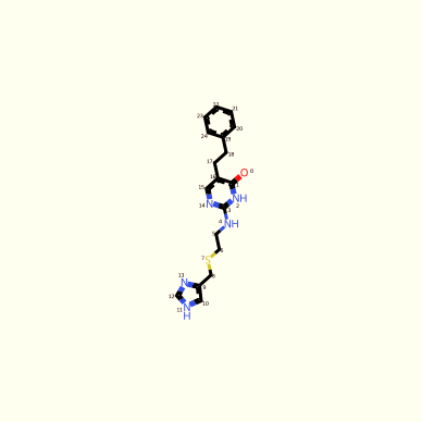 O=c1[nH]c(NCCSCc2c[nH]cn2)ncc1CCc1ccccc1